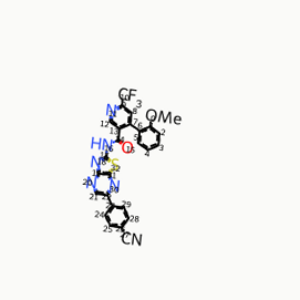 COc1ccccc1-c1cc(C(F)(F)F)ncc1C(=O)Nc1nc2ncc(-c3ccc(C#N)cc3)nc2s1